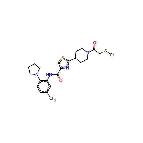 CCSCC(=O)N1CCC(c2nc(C(=O)Nc3cc(C(F)(F)F)ccc3N3CCCC3)cs2)CC1